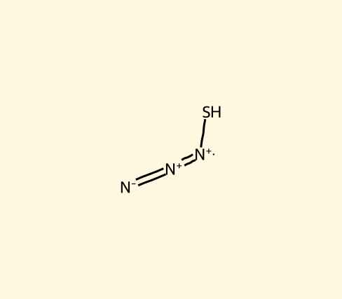 [N-]=[N+]=[N+]S